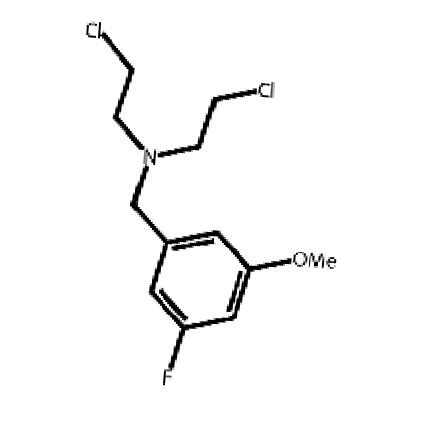 COc1cc(F)cc(CN(CCCl)CCCl)c1